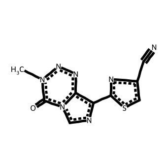 Cn1nnc2c(-c3nc(C#N)cs3)ncn2c1=O